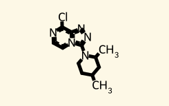 CC1CCN(c2nnc3c(Cl)nccn23)C(C)C1